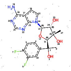 CC(O)(c1ccc(F)c(F)c1)[C@H]1O[C@@H](n2ccc3c(N)ncnc32)[C@H](O)[C@]1(C)O